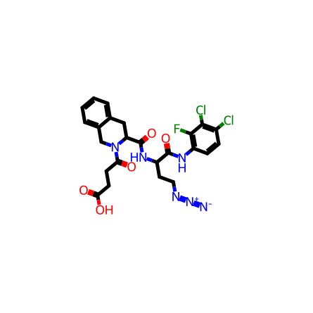 [N-]=[N+]=NCCC(NC(=O)C1Cc2ccccc2CN1C(=O)CCC(=O)O)C(=O)Nc1ccc(Cl)c(Cl)c1F